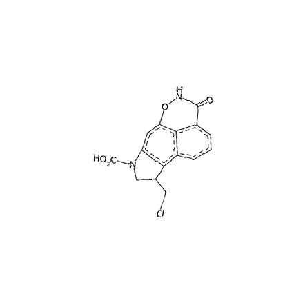 O=C1NOc2cc3c(c4cccc1c24)C(CCl)CN3C(=O)O